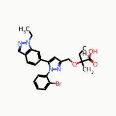 CCn1ncc2ccc(-c3cc(COC(C)(CC)C(=O)O)nn3-c3ccccc3Br)cc21